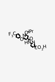 CC(C)Oc1cc(C(=O)Nc2ccc(C(=O)O)cn2)cc(Oc2ccc(C(F)(F)F)cc2)n1